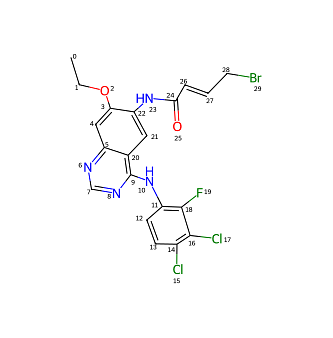 CCOc1cc2ncnc(Nc3ccc(Cl)c(Cl)c3F)c2cc1NC(=O)C=CCBr